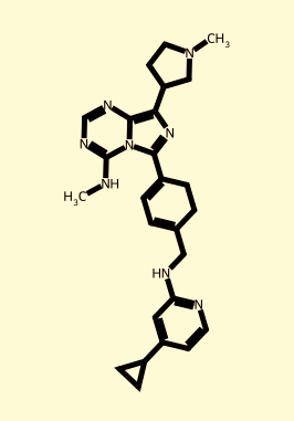 CNc1ncnc2c(C3CCN(C)C3)nc(C3=CC=C(CNc4cc(C5CC5)ccn4)CC3)n12